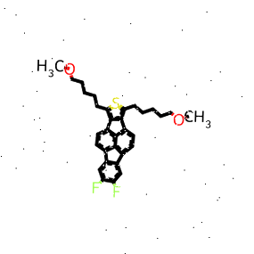 COCCCCCc1sc(CCCCCOC)c2c1-c1ccc3c4c(ccc-2c14)-c1cc(F)c(F)cc1-3